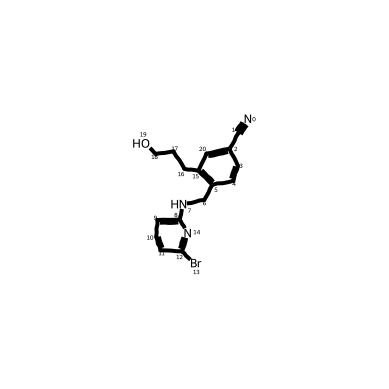 N#Cc1ccc(CNc2cccc(Br)n2)c(CCCO)c1